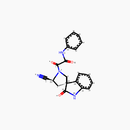 N#C[C@@H]1C[C@@]2(CN1C(=O)C(=O)Nc1ccccc1)C(=O)Nc1ccccc12